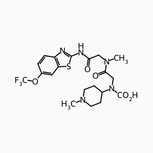 CN1CCC(N(CC(=O)N(C)CC(=O)Nc2nc3ccc(OC(F)(F)F)cc3s2)C(=O)O)CC1